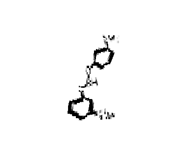 CSc1cccc(OBOc2cccc(SC)c2)c1